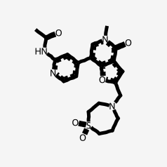 CC(=O)Nc1cc(-c2cn(C)c(=O)c3cc(CN4CCCS(=O)(=O)CC4)oc23)ccn1